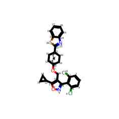 Clc1cccc(Cl)c1-c1noc(C2CC2)c1COC12CCC(c3nc4ccccc4s3)(CC1)CC2